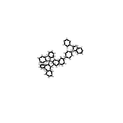 c1ccc(-c2nc3ccccc3n2-c2ccc(-c3ccc4cc5c(cc4c3)C3(c4ccccc4-c4ccccc43)c3c-5c4ccccc4c4ccccc34)cc2)cc1